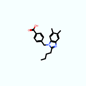 CCCCc1nc2cc(C)c(C)cc2n1Cc1ccc(C(=O)O)cc1